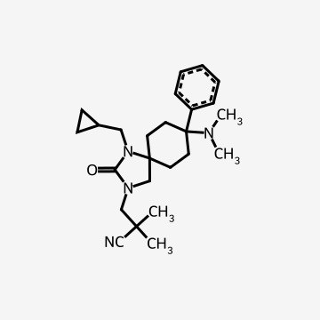 CN(C)C1(c2ccccc2)CCC2(CC1)CN(CC(C)(C)C#N)C(=O)N2CC1CC1